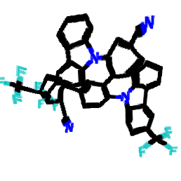 N#Cc1ccc(-c2cc(-c3ccc(C(F)(F)F)cc3C#N)ccc2-n2c3ccccc3c3cc(C(F)(F)F)ccc32)c(-n2c3ccccc3c3cc(C(F)(F)F)ccc32)c1